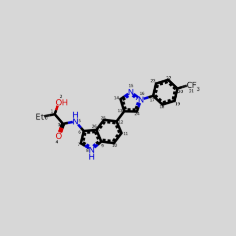 CCC(O)C(=O)Nc1c[nH]c2ccc(-c3cnn(-c4ccc(C(F)(F)F)cc4)c3)cc12